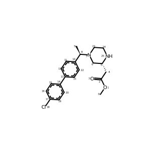 COC(=O)C[C@@H]1CN([C@H](C)c2ccc(-c3ccc(Cl)cc3)cc2)CCN1